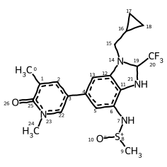 Cc1cc(-c2cc(N[S+](C)[O-])c3c(c2)N(CC2CC2)C(C(F)(F)F)N3)cn(C)c1=O